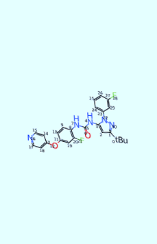 CC(C)(C)c1cc(NC(=O)Nc2ccc(Oc3ccncc3)cc2F)n(-c2cccc(F)c2)n1